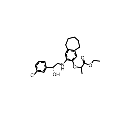 CCOC(=O)C(C)Oc1cc2c(cc1NC[C@H](O)c1cccc(Cl)c1)CCCCC2